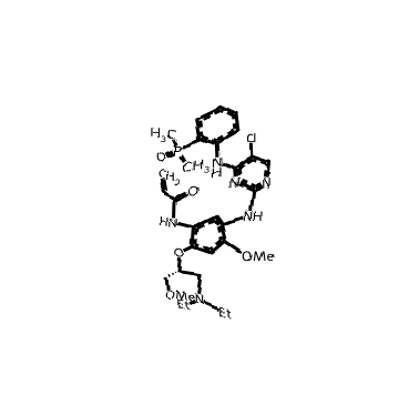 C=CC(=O)Nc1cc(Nc2ncc(Cl)c(Nc3ccccc3P(C)(C)=O)n2)c(OC)cc1O[C@@H](COC)CN(CC)CC